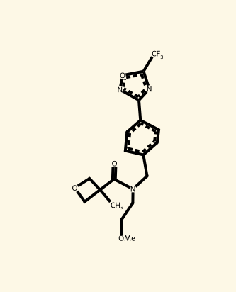 COCCN(Cc1ccc(-c2noc(C(F)(F)F)n2)cc1)C(=O)C1(C)COC1